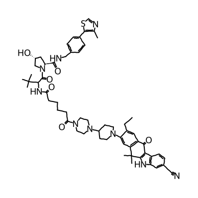 CCc1cc2c(cc1N1CCC(N3CCN(C(=O)CCCCC(=O)NC(C(=O)N4C[C@H](O)C[C@H]4C(=O)NCc4ccc(-c5scnc5C)cc4)C(C)(C)C)CC3)CC1)C(C)(C)c1[nH]c3cc(C#N)ccc3c1C2=O